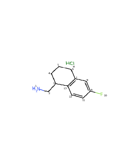 Cl.NCC1CCCc2cc(F)ccc21